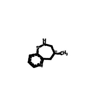 C[C@@H]1CNSc2cccnc2C1